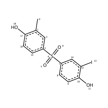 Cc1cc(S(=O)(=O)c2ccc(O)c(I)c2)ccc1O